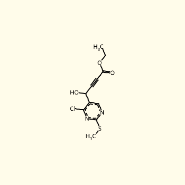 CCOC(=O)C#CC(O)c1cnc(SC)nc1Cl